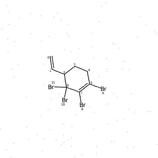 C=CC1CCC(Br)=C(Br)C1(Br)Br